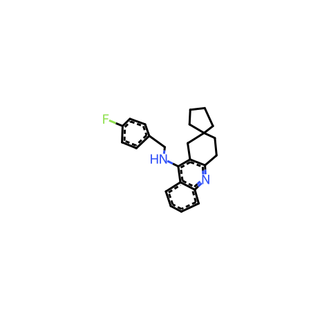 Fc1ccc(CNc2c3c(nc4ccccc24)CCC2(CCCC2)C3)cc1